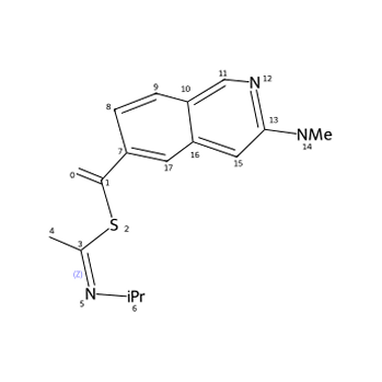 C=C(S/C(C)=N\C(C)C)c1ccc2cnc(NC)cc2c1